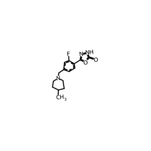 CC1CCN(Cc2ccc(-c3n[nH]c(=O)o3)c(F)c2)CC1